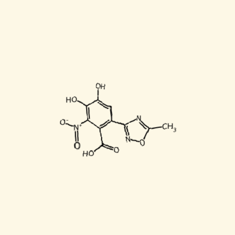 Cc1nc(-c2cc(O)c(O)c([N+](=O)[O-])c2C(=O)O)no1